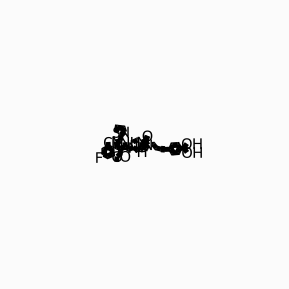 COC(=O)C1=C(CN2CCN3C(=O)N(CCC#Cc4ccc(C(O)O)cc4)C[C@@H]3C2)NC(c2nccs2)=N[C@H]1c1ccc(F)cc1Cl